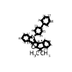 CC1(C)c2ccccc2-c2c1oc1c3ccccc3n(-c3ccc(-c4ccccc4)cc3)c21